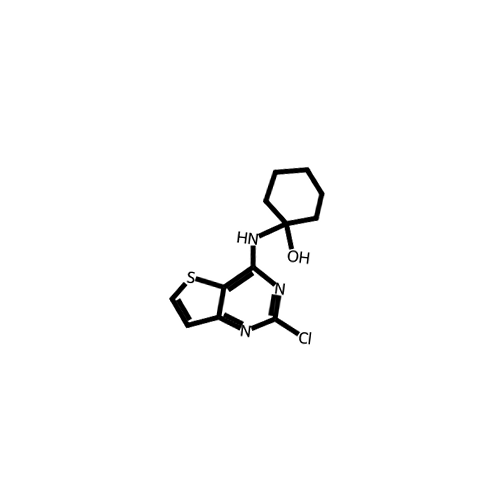 OC1(Nc2nc(Cl)nc3ccsc23)CCCCC1